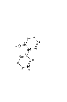 O=C1CCC=CN1C1=CCCN=C1